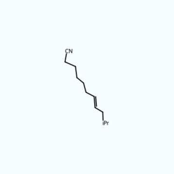 CC(C)C/C=C/CCCCCC#N